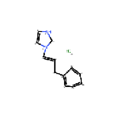 C(=CN1C=CNC1)Cc1ccccc1.Cl